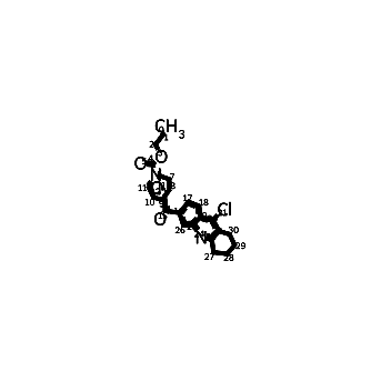 CCCOC(=O)N1CC2CCC1CN2C(=O)c1ccc2c(Cl)c3c(nc2c1)CCCC3